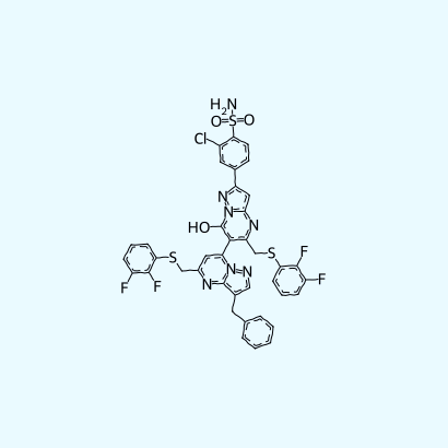 NS(=O)(=O)c1ccc(-c2cc3nc(CSc4cccc(F)c4F)c(-c4cc(CSc5cccc(F)c5F)nc5c(Cc6ccccc6)cnn45)c(O)n3n2)cc1Cl